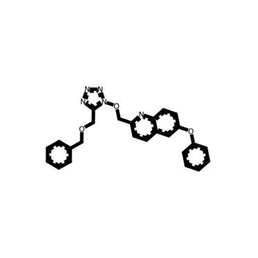 c1ccc(COCc2nnnn2OCc2ccc3cc(Oc4ccccc4)ccc3n2)cc1